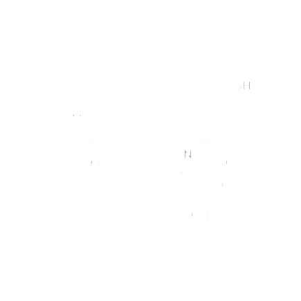 COC(=O)c1cccc(N(CC(=O)O)C(=O)[C@H](C)CS)c1